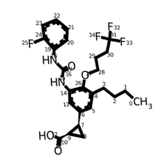 CCCCc1cc([C@H]2C[C@H]2C(=O)O)cc(NC(=O)Nc2ccccc2F)c1OCCCC(F)(F)F